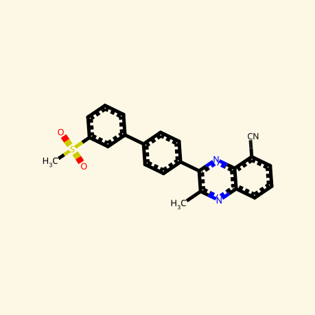 Cc1nc2cccc(C#N)c2nc1-c1ccc(-c2cccc(S(C)(=O)=O)c2)cc1